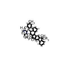 C=C/C(C)=C(\C=C/CC)N(c1ccc(C)cc1C)C1CC2=C(c3ccccc31)c1cc3c(cc1C2(C)C)-c1ccccc1C3(C)C